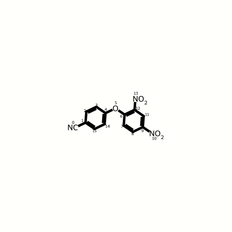 N#Cc1ccc(Oc2ccc([N+](=O)[O-])cc2[N+](=O)[O-])cc1